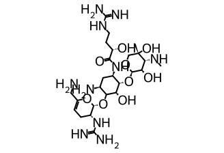 CN[C@@H]1[C@@H](O)[C@@H](O[C@H]2[C@H](NC(=O)[C@@H](O)CCNC(=N)N)C[C@H](N)C(O[C@H]3OC(CN)=CC[C@H]3NC(=N)N)[C@@H]2O)OC[C@]1(C)O